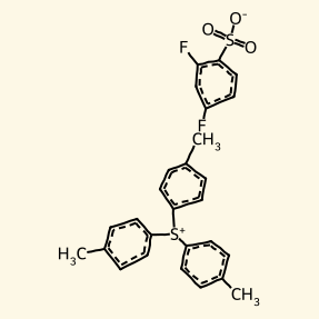 Cc1ccc([S+](c2ccc(C)cc2)c2ccc(C)cc2)cc1.O=S(=O)([O-])c1ccc(F)cc1F